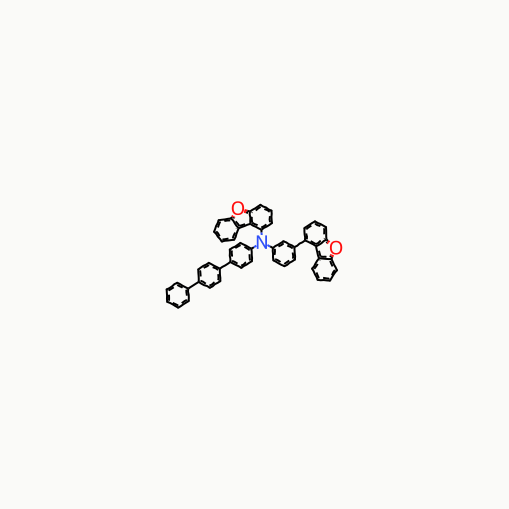 c1ccc(-c2ccc(-c3ccc(N(c4cccc(-c5cccc6oc7ccccc7c56)c4)c4cccc5oc6ccccc6c45)cc3)cc2)cc1